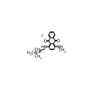 CNc1ccc(NCCC[N+](C)(C)C)c2c1C(=O)c1ccccc1C2=O.[I-]